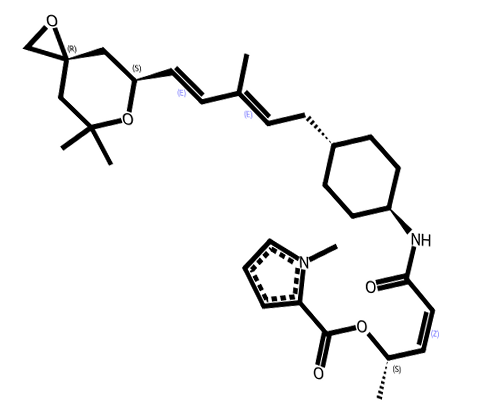 CC(/C=C/[C@@H]1C[C@]2(CO2)CC(C)(C)O1)=C\C[C@H]1CC[C@H](NC(=O)/C=C\[C@H](C)OC(=O)c2cccn2C)CC1